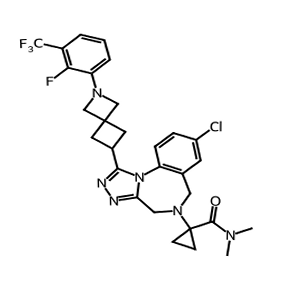 CN(C)C(=O)C1(N2Cc3cc(Cl)ccc3-n3c(nnc3C3CC4(C3)CN(c3cccc(C(F)(F)F)c3F)C4)C2)CC1